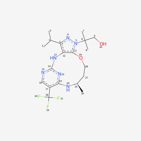 CC(C)c1nn(C(C)(C)CO)c2c1Nc1ncc(C(F)(F)F)c(n1)N[C@H](C)CCO2